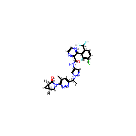 Cc1cc([C@H](C)n2cc(NC(=O)c3nccnc3-c3c(C(F)F)ccc(Cl)c3F)cn2)nnc1N1C[C@H]2C[C@H]2C1=O